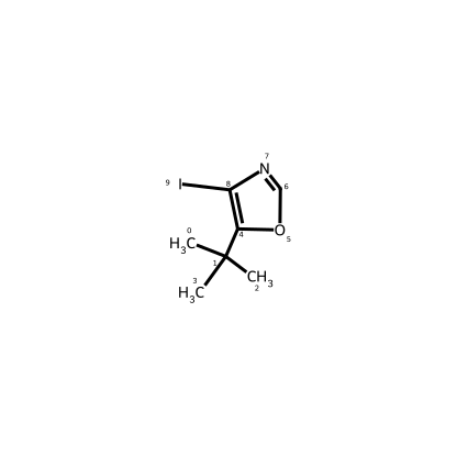 CC(C)(C)c1ocnc1I